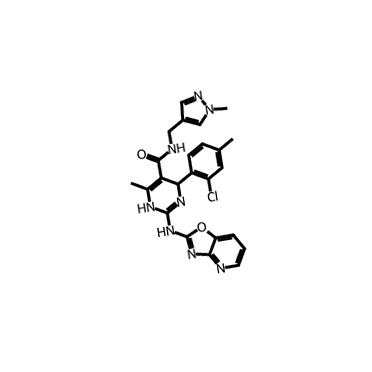 CC1=C(C(=O)NCc2cnn(C)c2)C(c2ccc(C)cc2Cl)N=C(Nc2nc3ncccc3o2)N1